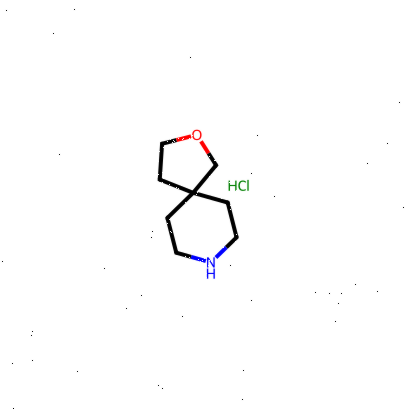 C1CC2(CCN1)CCOC2.Cl